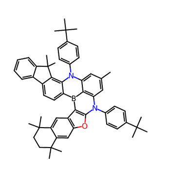 Cc1cc2c3c(c1)N(c1ccc(C(C)(C)C)cc1)c1c(ccc4c1C(C)(C)c1ccccc1-4)B3c1c(oc3cc4c(cc13)C(C)(C)CCC4(C)C)N2c1ccc(C(C)(C)C)cc1